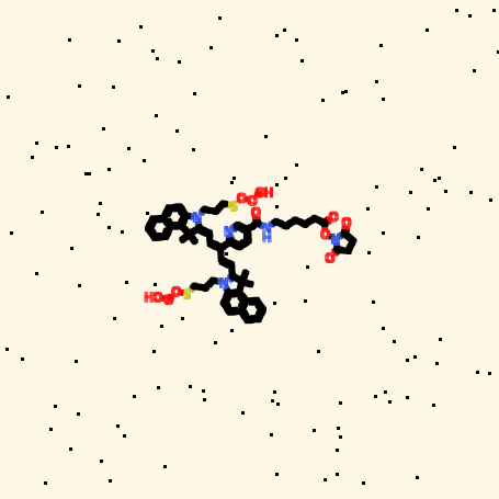 CC1(C)C(/C=C/C(=C/C=C2/N(CCCSOOO)c3ccc4ccccc4c3C2(C)C)c2ccc(C(=O)NCCCCCC(=O)ON3C(=O)CCC3=O)cn2)=[N+](CCCSOOO)c2ccc3ccccc3c21